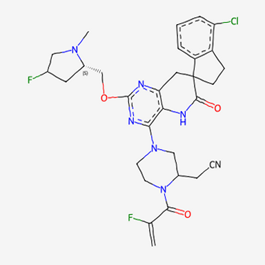 C=C(F)C(=O)N1CCN(c2nc(OC[C@@H]3CC(F)CN3C)nc3c2NC(=O)C2(CCc4c(Cl)cccc42)C3)CC1CC#N